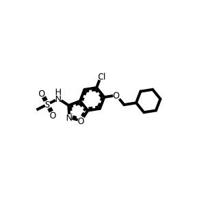 CS(=O)(=O)Nc1noc2cc(OCC3CCCCC3)c(Cl)cc12